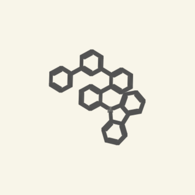 c1ccc(-c2cccc(-c3ccccc3-c3ccccc3-n3c4ccccc4c4ccccc43)c2)cc1